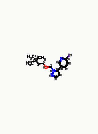 C[Si](C)(C)CCOCn1nccc1-c1ccc(I)nc1